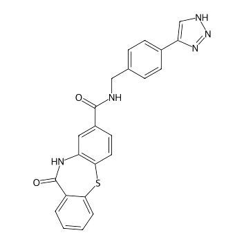 O=C(NCc1ccc(-c2c[nH]nn2)cc1)c1ccc2c(c1)NC(=O)c1ccccc1S2